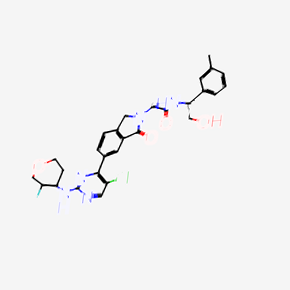 Cc1cccc([C@@H](CO)NC(=O)[C@@H](C)N2Cc3ccc(-c4nc(NC5CCOCC5F)ncc4Cl)cc3C2=O)c1